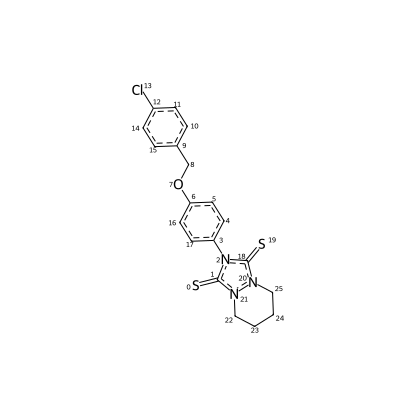 S=c1n(-c2ccc(OCc3ccc(Cl)cc3)cc2)c(=S)n2n1CCCC2